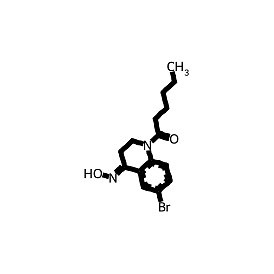 CCCCCC(=O)N1CCC(=NO)c2cc(Br)ccc21